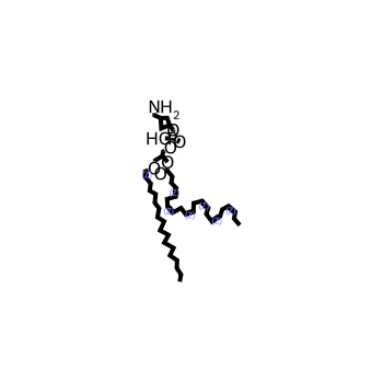 CC/C=C\C/C=C\C/C=C\C/C=C\C/C=C\C/C=C\CCC(=O)OC(CO/C=C\CCCCCCCCCCCCCCCC)COP(=O)(O)OC1CC(CN)C1